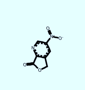 O=C1OCc2cc([N+](=O)[O-])cnc21